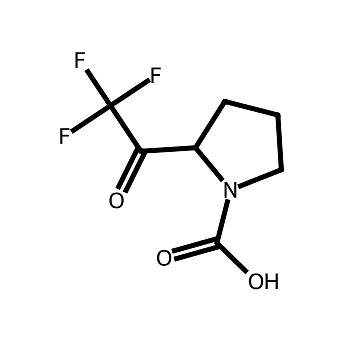 O=C(O)N1CCCC1C(=O)C(F)(F)F